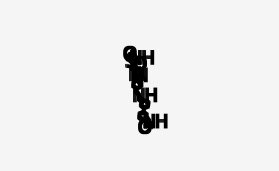 CC(=O)Nc1cccc(-c2cccc(CNCC3CCN(c4nccc(C=C5SC(=O)NC5=O)n4)CC3)c2)c1